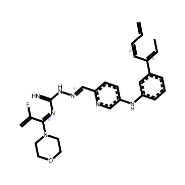 C=C/C=C\C(=C/C)c1cccc(Nc2ccc(/C=N/NC(=N)/N=C(\C(=C)F)N3CCOCC3)nc2)c1